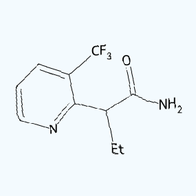 CCC(C(N)=O)c1ncccc1C(F)(F)F